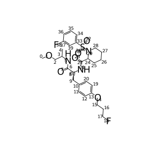 COCC(C)NC(=O)[C@H](Cc1ccc(OCCCF)cc1)NC(=O)C1CCCCN1S(=O)(=O)c1cccc(F)c1